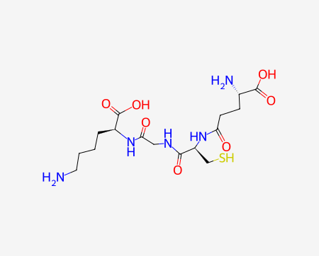 NCCCC[C@H](NC(=O)CNC(=O)[C@H](CS)NC(=O)CC[C@H](N)C(=O)O)C(=O)O